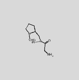 CC(C)N(CC1CCCN1C=O)C(=O)CN